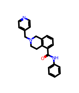 O=C(Nc1ccccc1)c1cccc2c1CCN(Cc1ccncc1)C2